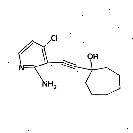 Nc1nccc(Cl)c1C#CC1(O)CCCCCC1